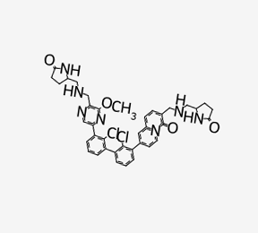 COc1nc(-c2cccc(-c3cccc(-c4ccn5c(=O)c(CNCC6CCC(=O)N6)ccc5c4)c3Cl)c2Cl)cnc1CNCC1CCC(=O)N1